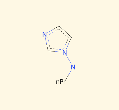 CCC[N]n1ccnc1